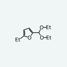 CCOC(OCC)c1ccc(CC)o1